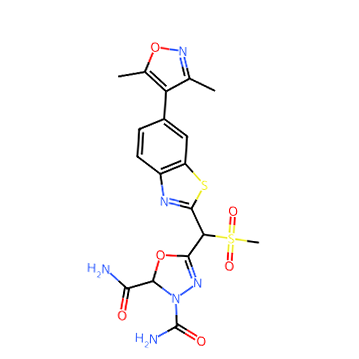 Cc1noc(C)c1-c1ccc2nc(C(C3=NN(C(N)=O)C(C(N)=O)O3)S(C)(=O)=O)sc2c1